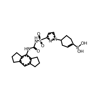 O=C(Nc1c2c(cc3c1CCC3)CCC2)NS(=O)(=O)c1ccn(C2CC=C(B(O)O)CC2)n1